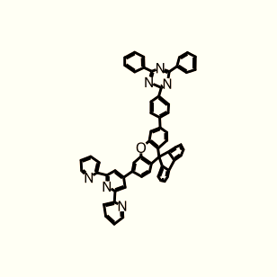 c1ccc(-c2nc(-c3ccccc3)nc(-c3ccc(-c4ccc5c(c4)Oc4cc(-c6cc(-c7ccccn7)nc(-c7ccccn7)c6)ccc4C54c5ccccc5-c5ccccc54)cc3)n2)cc1